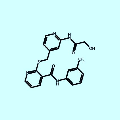 O=C(CO)Nc1cc(CSc2ncccc2C(=O)Nc2cccc(C(F)(F)F)c2)ccn1